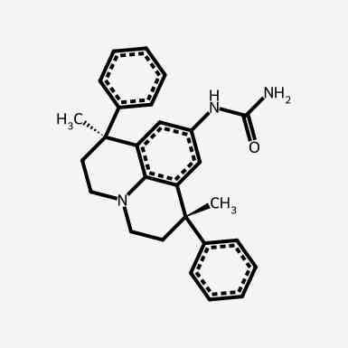 C[C@@]1(c2ccccc2)CCN2CC[C@@](C)(c3ccccc3)c3cc(NC(N)=O)cc1c32